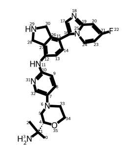 CC(C)(N)[C@@H]1CN(c2ccc(Nc3ccc(-c4cnc5cc(F)ccn45)c4c3CNC4)nc2)CCO1